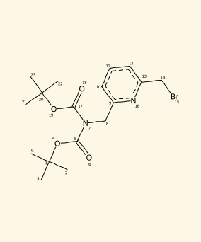 CC(C)(C)OC(=O)N(Cc1cccc(CBr)n1)C(=O)OC(C)(C)C